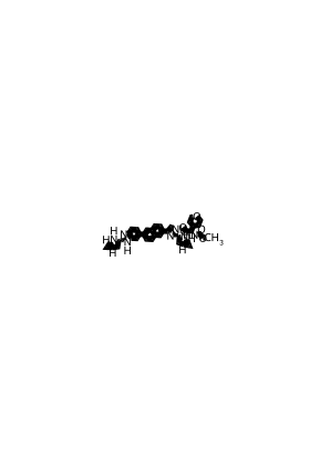 COC(=O)N[C@H](C(=O)N1[C@@H]2C[C@@H]2C[C@H]1c1nc(-c2ccc3cc(-c4ccc5nc([C@@H]6C[C@H]7C[C@H]7N6)[nH]c5c4)ccc3c2)c[nH]1)C1CCOCC1